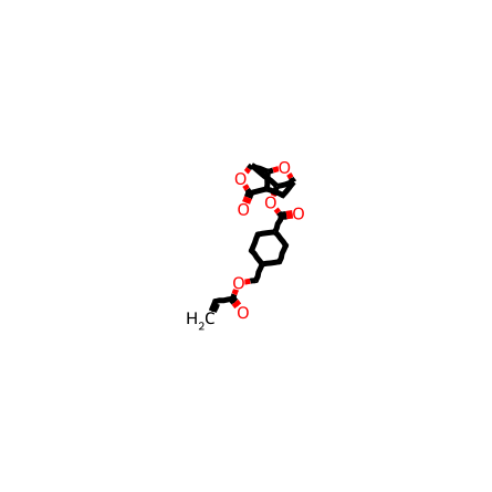 C=CC(=O)OCC1CCC(C(=O)OC2C3CC4C(=O)OC2C4O3)CC1